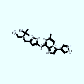 CCC(C)(C)N(Cc1cc(Nc2nc(C)cn3c(-c4cn[nH]c4)cnc23)sn1)CC(F)(F)F